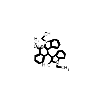 CCn1c(C)c(C(c2ccccc2C(=O)OC)c2c(C)n(CC)c3ccccc23)c2ccccc21